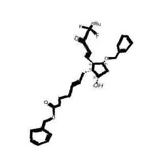 CCCCC(F)(F)C(=O)C=C[C@@H]1[C@@H](CC=CCCCC(=O)OCc2ccccc2)[C@@H](O)C[C@H]1OCc1ccccc1